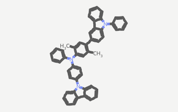 Cc1cc(N(c2ccccc2)c2ccc(-n3c4ccccc4c4ccccc43)cc2)c(C)cc1-c1ccc2c(c1)c1ccccc1n2-c1ccccc1